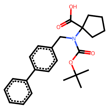 CC(C)(C)OC(=O)N(Cc1ccc(-c2ccccc2)cc1)C1(C(=O)O)CCCC1